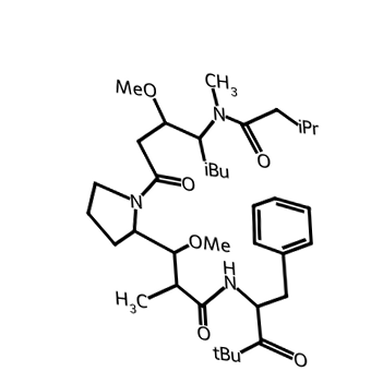 CCC(C)C(C(CC(=O)N1CCCC1C(OC)C(C)C(=O)NC(Cc1ccccc1)C(=O)C(C)(C)C)OC)N(C)C(=O)CC(C)C